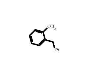 CC(C)Cc1ccccc1C(Cl)(Cl)Cl